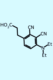 CCN(CC)c1ccc(CCC(=O)O)c(C#N)c1C#N